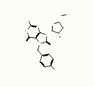 Nc1nc2c(c(=O)[nH]1)n(Cc1ccc(F)cc1)c(=O)n2[C@@H]1O[C@H](CO)C[C@H]1O